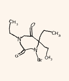 CCN1C(=O)N(Br)C(CC)(CC)C1=O